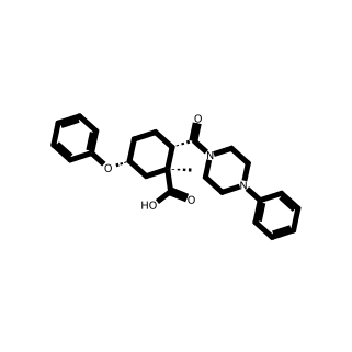 C[C@]1(C(=O)O)C[C@H](Oc2ccccc2)CC[C@@H]1C(=O)N1CCN(c2ccccc2)CC1